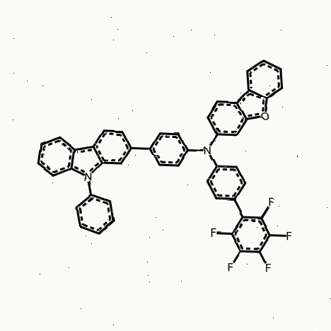 Fc1c(F)c(F)c(-c2ccc(N(c3ccc(-c4ccc5c6ccccc6n(-c6ccccc6)c5c4)cc3)c3ccc4c(c3)oc3ccccc34)cc2)c(F)c1F